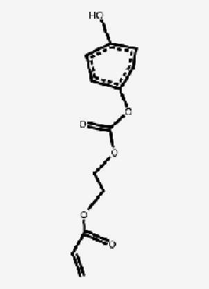 C=CC(=O)OCCOC(=O)Oc1ccc(O)cc1